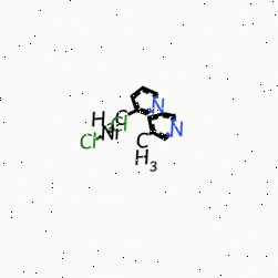 Cc1cccnc1.Cc1cccnc1.[Cl][Ni][Cl]